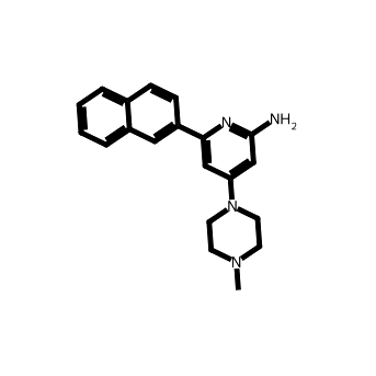 CN1CCN(c2cc(N)nc(-c3ccc4ccccc4c3)c2)CC1